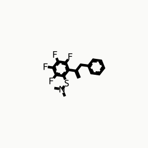 C=C(Cc1ccccc1)c1c(F)c(F)c(F)c(F)c1SN(C)C